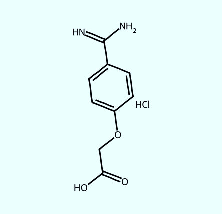 Cl.N=C(N)c1ccc(OCC(=O)O)cc1